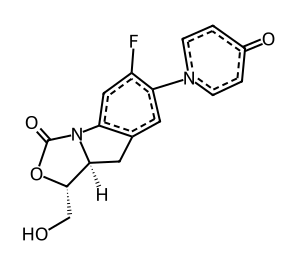 O=C1O[C@@H](CO)[C@@H]2Cc3cc(-n4ccc(=O)cc4)c(F)cc3N12